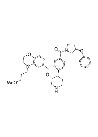 COCCCN1CCOc2ccc(CO[C@H]3CNCC[C@@H]3c3ccc(C(=O)N4CC[C@@H](Oc5ccccc5)C4)cc3)cc21